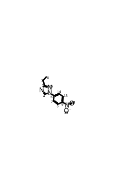 CCc1ncn(-c2ccc([N+](=O)[O-])cc2)n1